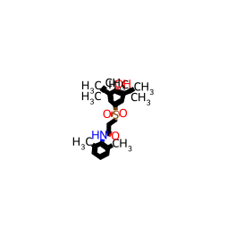 Cc1cccc(C)c1NC(=O)CCS(=O)(=O)c1cc(C(C)(C)C)c(O)c(C(C)(C)C)c1